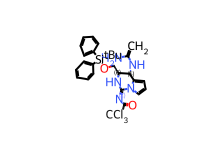 C=C(N)N[C@@H]1c2cccn2/C(=N\C(=O)C(Cl)(Cl)Cl)N[C@H]1CO[Si](c1ccccc1)(c1ccccc1)C(C)(C)C